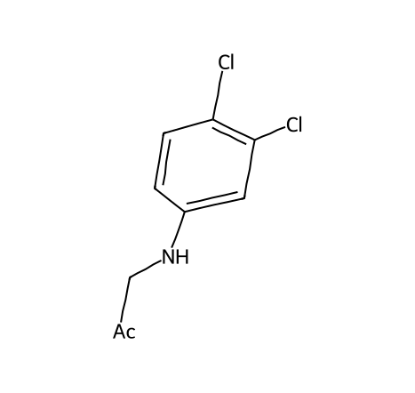 CC(=O)CNc1ccc(Cl)c(Cl)c1